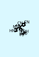 N#CCC(C1CCC(C#N)C1)C1(c2ncnc3[nH]ccc23)C=NNC1.O=C(O)C(F)(F)F